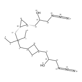 CCC(CC)(CC1CC(CC(O)CN=[N+]=[N-])C1)C[C@@H]1C[C@@H]1CC(O)CN=[N+]=[N-]